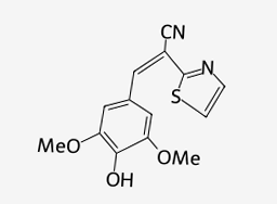 COc1cc(C=C(C#N)c2nccs2)cc(OC)c1O